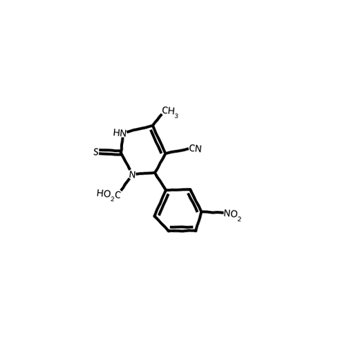 CC1=C(C#N)C(c2cccc([N+](=O)[O-])c2)N(C(=O)O)C(=S)N1